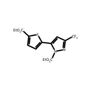 CCOC(=O)c1ccc(-c2cc(C(F)(F)F)nn2C(=O)OCC)s1